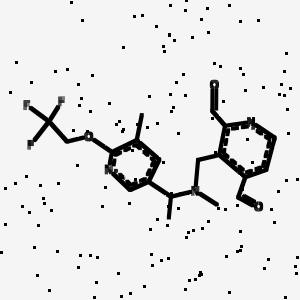 Cc1cc(C(C)N(C)Cc2c(C=O)ccnc2C=O)cnc1OCC(F)(F)F